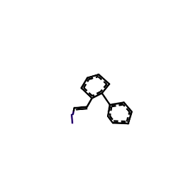 IC=Cc1ccccc1-c1ccccc1